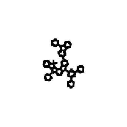 CC1(C)c2ccccc2-c2c1c1c3c4cc(-c5ccc6c(c5)c5ccccc5n6-c5ccccc5)ccc4n(-c4nc(-c5ccccc5)nc(-c5ccccc5)n4)c3ccc1n2-c1ccccc1